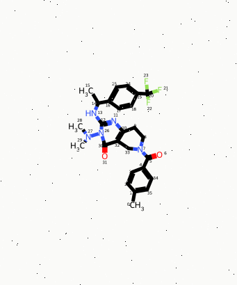 Cc1ccc(C(=O)N2CCc3nc(NC(C)c4ccc(C(F)(F)F)cc4)n(N(C)C)c(=O)c3C2)cc1